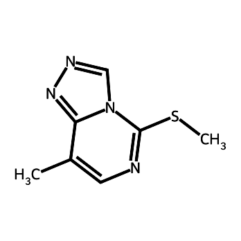 CSc1ncc(C)c2nncn12